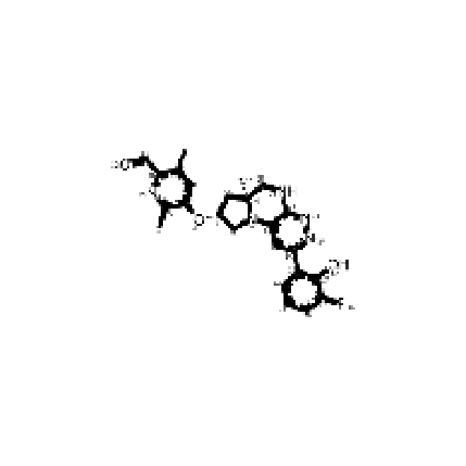 Cc1cc(O[C@H]2CN3c4cc(-c5cccc(F)c5O)nnc4NC[C@]3(C)C2)c(C)nc1C=O